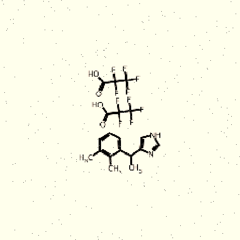 Cc1cccc(C(C)c2c[nH]cn2)c1C.O=C(O)C(F)(F)C(F)(F)F.O=C(O)C(F)(F)C(F)(F)F